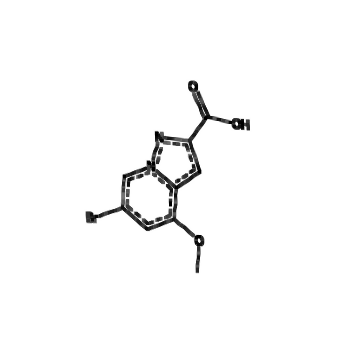 COc1cc(Br)cn2nc(C(=O)O)cc12